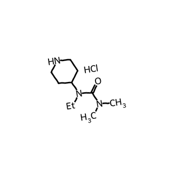 CCN(C(=O)N(C)C)C1CCNCC1.Cl